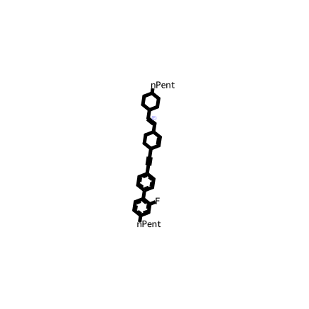 CCCCCc1ccc(-c2ccc(C#CC3C=CC(/C=C/C4CCC(CCCCC)CC4)CC3)cc2)c(F)c1